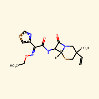 C=CC1(C(=O)O)CS[C@@H]2C(NC(=O)C(=NOCC(=O)O)c3cscn3)C(=O)N2C1